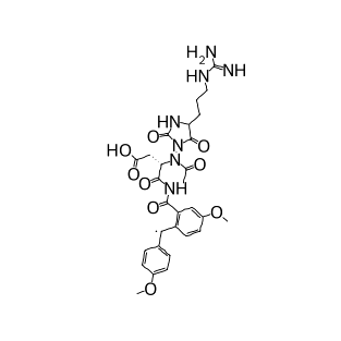 COc1ccc([CH]c2ccc(OC)cc2C(=O)NC(=O)[C@H](CC(=O)O)N(C(C)=O)N2C(=O)NC(CCCNC(=N)N)C2=O)cc1